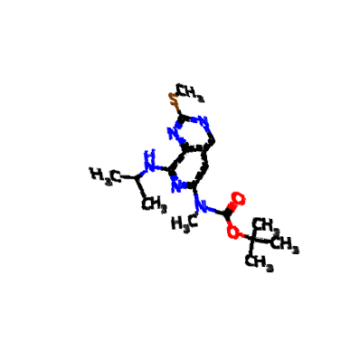 CSc1ncc2cc(N(C)C(=O)OC(C)(C)C)nc(NC(C)C)c2n1